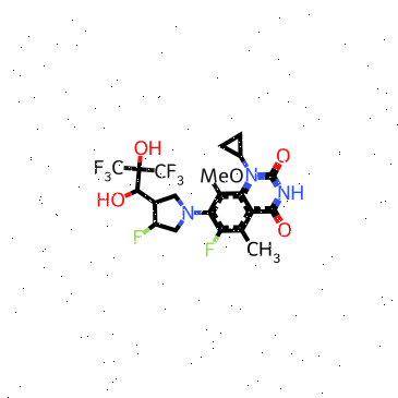 COc1c(N2CC(F)C(C(O)C(O)(C(F)(F)F)C(F)(F)F)C2)c(F)c(C)c2c(=O)[nH]c(=O)n(C3CC3)c12